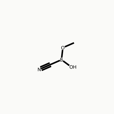 COB(O)C#N